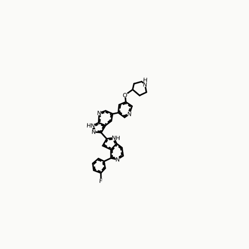 Fc1cccc(-c2nccc3[nH]c(-c4n[nH]c5ncc(-c6cncc(OC7CCNCC7)c6)cc45)cc23)c1